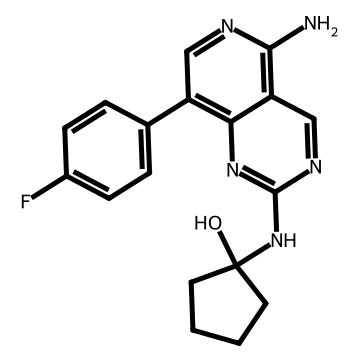 Nc1ncc(-c2ccc(F)cc2)c2nc(NC3(O)CCCC3)ncc12